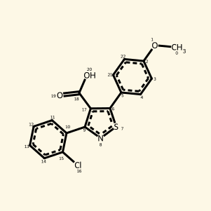 COc1ccc(-c2snc(-c3ccccc3Cl)c2C(=O)O)cc1